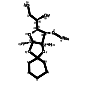 CCCCCCCCCO[C@@H]1[C@H]2OC3(CCCCC3)O[C@H]2O[C@@H]1[C@H](O)CO